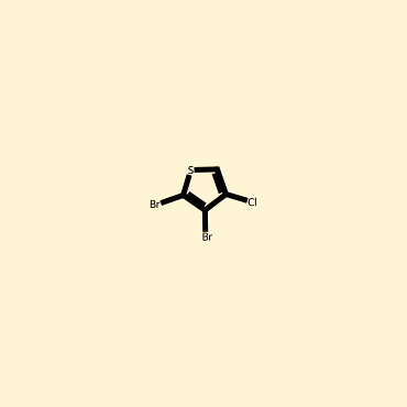 Clc1csc(Br)c1Br